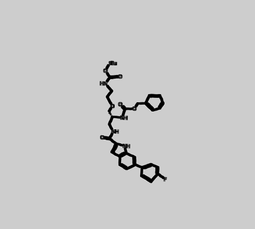 CC(C)(C)OC(=O)NCCOC[C@@H](CNC(=O)c1cc2ccc(-c3ccc(F)cc3)cc2[nH]1)NC(=O)OCc1ccccc1